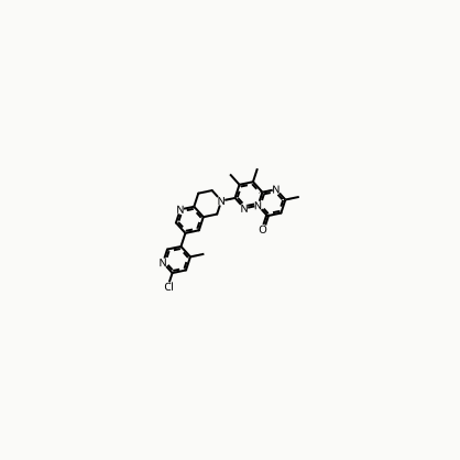 Cc1cc(=O)n2nc(N3CCc4ncc(-c5cnc(Cl)cc5C)cc4C3)c(C)c(C)c2n1